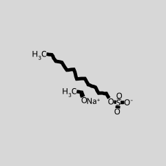 CC=O.CCCCCCCCCCCCOS(=O)(=O)[O-].[Na+]